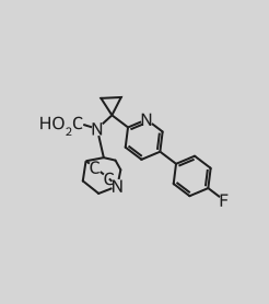 O=C(O)N(C1CCN2CCC1CC2)C1(c2ccc(-c3ccc(F)cc3)cn2)CC1